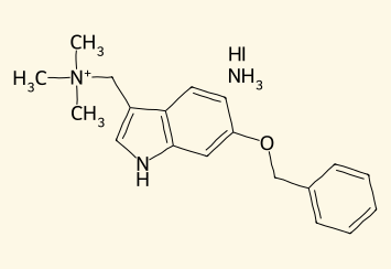 C[N+](C)(C)Cc1c[nH]c2cc(OCc3ccccc3)ccc12.I.N